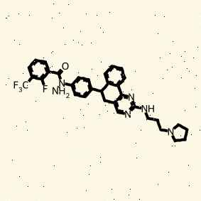 NN(C(=O)c1cccc(C(F)(F)F)c1F)c1ccc(C2Cc3cnc(NCCCN4CCCC4)nc3-c3ccccc32)cc1